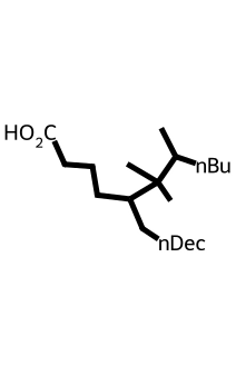 CCCCCCCCCCCC(CCCC(=O)O)C(C)(C)C(C)CCCC